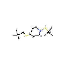 CC(C)(C)CSC1CCN(SC(C)(C)C)CC1